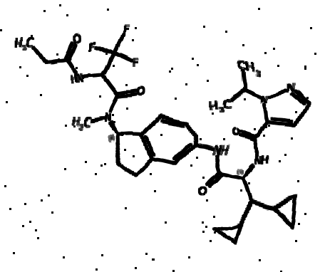 CCC(=O)NC(C(=O)N(C)[C@@H]1CCc2cc(NC(=O)[C@@H](NC(=O)c3ccnn3C(C)C)C(C3CC3)C3CC3)ccc21)C(F)(F)F